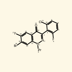 CC(C)n1nc(-c2c(F)cccc2Cl)c(=O)c2cc(F)c(Br)cc21